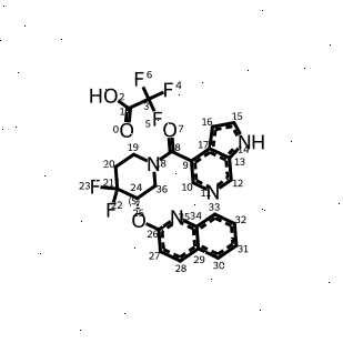 O=C(O)C(F)(F)F.O=C(c1cncc2[nH]ccc12)N1CCC(F)(F)[C@@H](Oc2ccc3ccccc3n2)C1